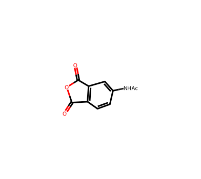 CC(=O)Nc1ccc2c(c1)C(=O)OC2=O